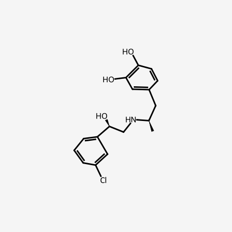 C[C@H](Cc1ccc(O)c(O)c1)NC[C@H](O)c1cccc(Cl)c1